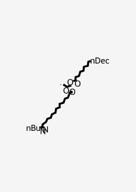 [CH2]C(COC(=O)CCCCCCCCCCCCCCCCC)OC(=O)CCCCCCCCCCCCC1(CCCC)N=N1